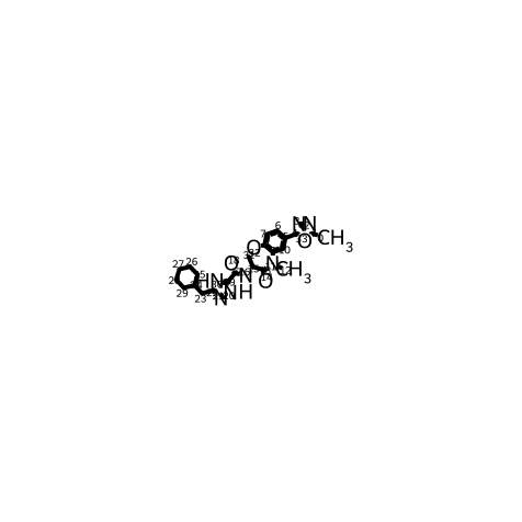 Cc1nnc(-c2ccc3c(c2)N(C)C(=O)[C@@H](NC(=O)c2nnc(CC4CCCCC4)[nH]2)CO3)o1